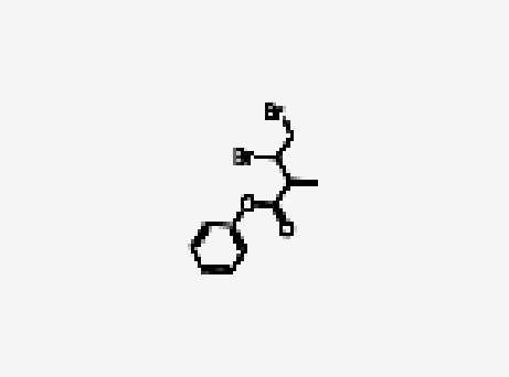 C=C(C(=O)Oc1ccccc1)C(Br)CBr